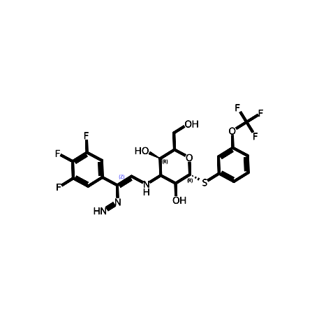 N=N/C(=C\NC1C(O)[C@@H](Sc2cccc(OC(F)(F)F)c2)OC(CO)[C@@H]1O)c1cc(F)c(F)c(F)c1